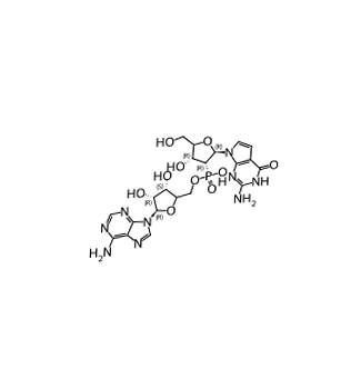 Nc1nc2c(ccn2[C@@H]2OC(CO)[C@@H](O)[C@H]2P(=O)(O)OCC2O[C@@H](n3cnc4c(N)ncnc43)[C@H](O)[C@@H]2O)c(=O)[nH]1